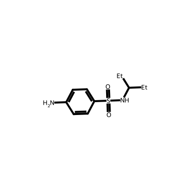 CCC(CC)NS(=O)(=O)c1ccc(N)cc1